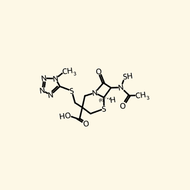 CC(=O)N(S)C1C(=O)N2CC(CSc3nnnn3C)(C(=O)O)CS[C@H]12